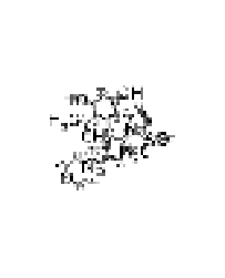 CC(C)c1cc(-c2nnc([S+](C)[O-])n2-c2ccc(C[N+]3([O-])CCOCC3)cc2)c(O)cc1O